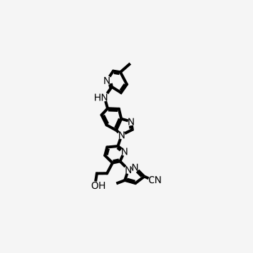 Cc1ccc(Nc2ccc3c(c2)ncn3-c2ccc(CCO)c(-n3nc(C#N)cc3C)n2)nc1